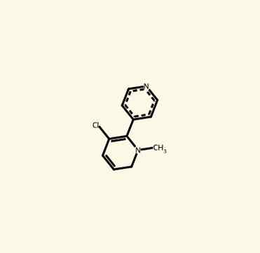 CN1CC=CC(Cl)=C1c1ccncc1